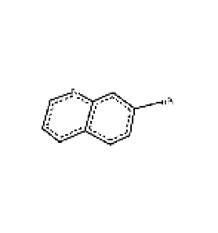 CCCc1[c]c2ncccc2cc1